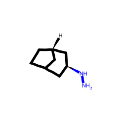 NN[C@H]1CC2CC[C@@H](C2)C1